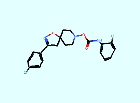 O=C(Nc1ccccc1Cl)ON1CCC2(CC1)CC(c1ccc(Cl)cc1)=NO2